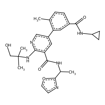 Cc1ccc(C(=O)NC2CC2)cc1-c1cnc(NC(C)(C)CO)c(C(=O)NC(C)c2ncco2)c1